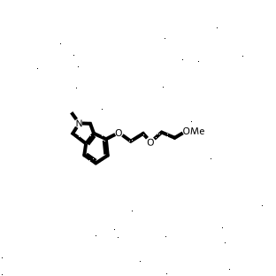 COCCOCCOc1cccc2c1CN(C)C2